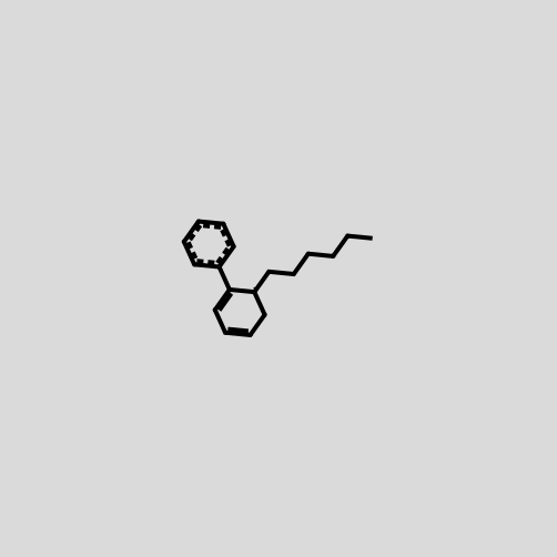 CCCCCC[C]1CC=CC=C1c1ccccc1